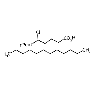 CCCCCC(Cl)CCCC(=O)O.CCCCCCCCCCCC